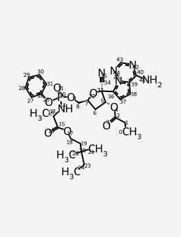 CCC(=O)O[C@@H]1C[C@@H](COP(=O)(N[C@@H](C)C(=O)OCCC(C)(C)CC)Oc2ccccc2)O[C@@]1(C#N)c1ccc2c(N)ncnn12